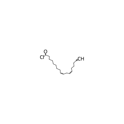 C#CCCC/C=C\C/C=C\CCCCCCCC(=O)Cl